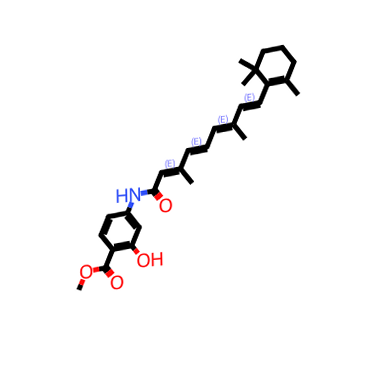 COC(=O)c1ccc(NC(=O)/C=C(C)/C=C/C=C(C)/C=C/C2=C(C)CCCC2(C)C)cc1O